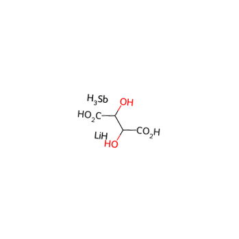 O=C(O)C(O)C(O)C(=O)O.[LiH].[SbH3]